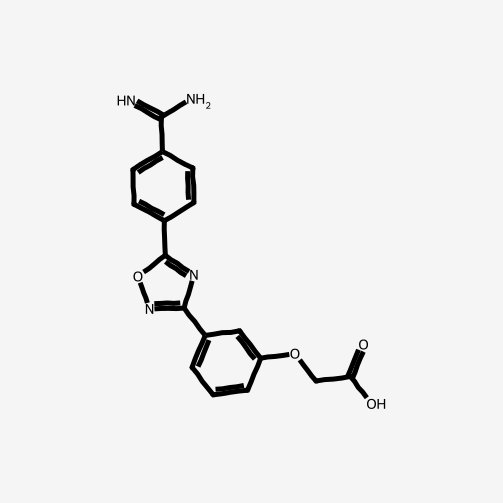 N=C(N)c1ccc(-c2nc(-c3cccc(OCC(=O)O)c3)no2)cc1